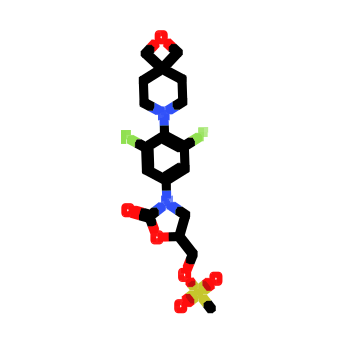 CS(=O)(=O)OCC1CN(c2cc(F)c(N3CCC4(CC3)COC4)c(F)c2)C(=O)O1